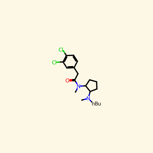 CCCCN(C)C1CCCC1N(C)C(=O)Cc1ccc(Cl)c(Cl)c1